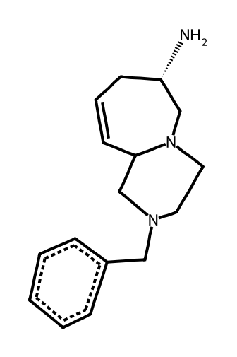 N[C@H]1CC=CC2CN(Cc3ccccc3)CCN2C1